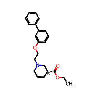 CCOC(=O)[C@@H]1CCCN(CCOc2cccc(-c3ccccc3)c2)C1